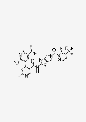 COc1nnc(C(F)F)cc1-c1cc(C)ncc1C(=O)Nc1nc2c(s1)CN(C(=O)c1nccc(C(F)(F)F)c1F)C2